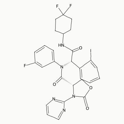 O=C(NC1CCC(F)(F)CC1)[C@H](c1ccccc1I)N(C(=O)[C@@H]1COC(=O)N1c1ncccn1)c1cccc(F)c1